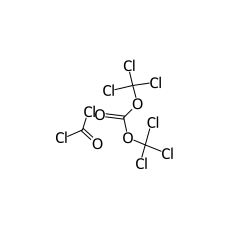 O=C(Cl)Cl.O=C(OC(Cl)(Cl)Cl)OC(Cl)(Cl)Cl